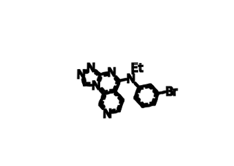 CCN(c1cccc(Br)c1)c1nc2nncn2c2cnccc12